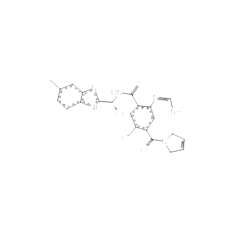 C=C(N[C@@H](C)c1nc2cc(Cl)ccc2[nH]1)c1cc(Cl)c(C(=O)N2CC=CC2)cc1/N=C\N